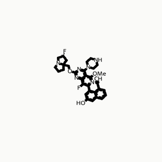 C#Cc1cccc2cc(O)cc(-c3nc(OC)c4c(N5CCNCC5)nc(OCC56CCCN5C[C@H](F)C6)nc4c3F)c12